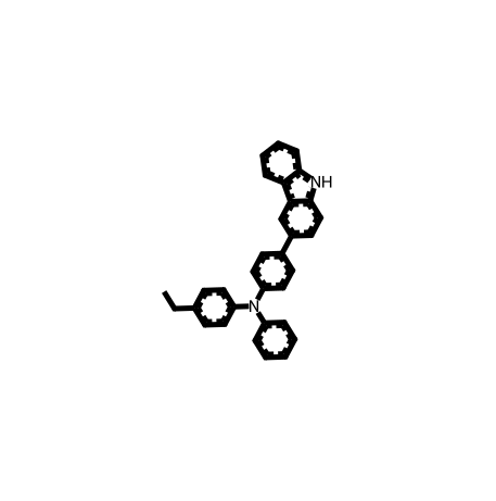 CCc1ccc(N(c2ccccc2)c2ccc(-c3ccc4[nH]c5ccccc5c4c3)cc2)cc1